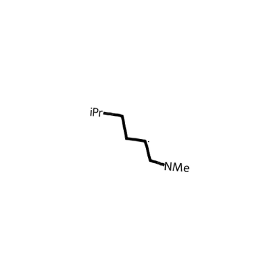 CNC[CH]CCC(C)C